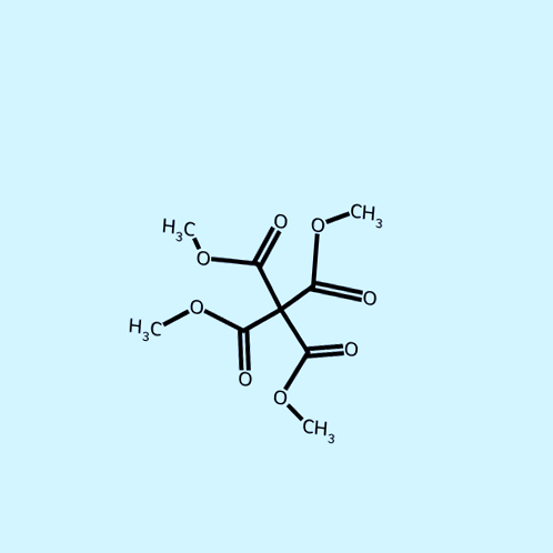 COC(=O)C(C(=O)OC)(C(=O)OC)C(=O)OC